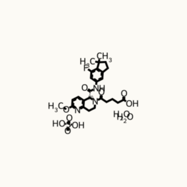 COc1ccc2c(n1)CCN(C(=O)CCCC(=O)O)[C@H]2C(=O)Nc1cc(F)c2c(c1)CCC2(C)C.O.O.O=S(=O)(O)O